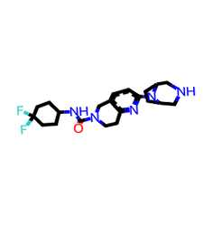 O=C(NC1CCC(F)(F)CC1)N1CCc2nc(N3C4CCC3CNC4)ccc2C1